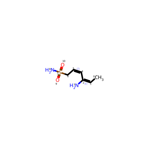 C/C=C(N)\C=C/CS(N)(=O)=O